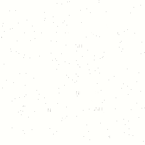 NC(=O)CNc1cc(N2CCCCC2=O)ccc1-n1cc(CNC(=O)c2ccc(Cl)s2)nn1